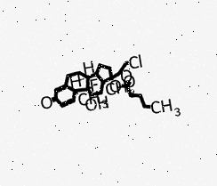 CCCCC(=O)O[C@]1(C(=O)CCl)CC[C@H]2[C@@H]3CCC4=CC(=O)C=C[C@]4(C)[C@@]3(F)[C@@H](O)C[C@@]21C